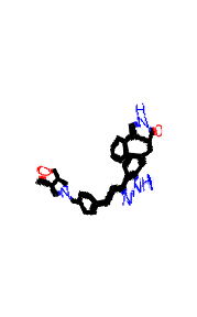 O=C1NCC(c2ccccc2)/C1=C\c1ccc2c(/C=C/c3ccc(CN4CC5COCC5C4)cc3)n[nH]c2c1